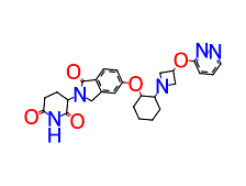 O=C1CCC(N2Cc3cc(OC4CCCCC4N4CC(Oc5cccnn5)C4)ccc3C2=O)C(=O)N1